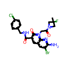 CC1(F)CN(C(=O)Cn2c(=O)c(C(=O)NCc3ccc(Cl)cc3)cc3cc(Br)c(N)nc32)C1